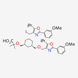 COc1cccc(-c2nc(CI)c(C(C)C)o2)c1.COc1cccc(-c2nc(COC[C@@H]3CCC[C@H](COC(C)(C)C(=O)O)C3)c(C(C)C)o2)c1